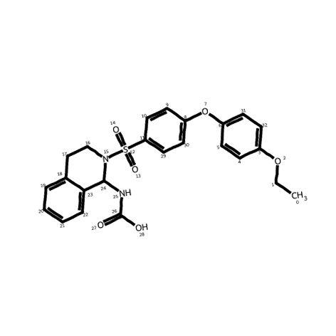 CCOc1ccc(Oc2ccc(S(=O)(=O)N3CCc4ccccc4C3NC(=O)O)cc2)cc1